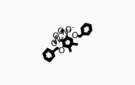 Cc1c(C)c(OCc2ccccc2)c([N+](=O)[O-])c([N+](=O)[O-])c1OCc1ccccc1